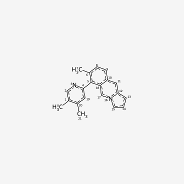 Cc1cnc(-c2c(C)ccc3cc4cccn4cc23)cc1C